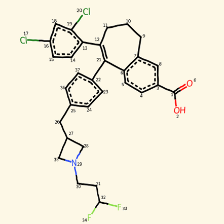 O=C(O)c1ccc2c(c1)CCCC(c1ccc(Cl)cc1Cl)=C2c1ccc(CC2CN(CCC(F)F)C2)cc1